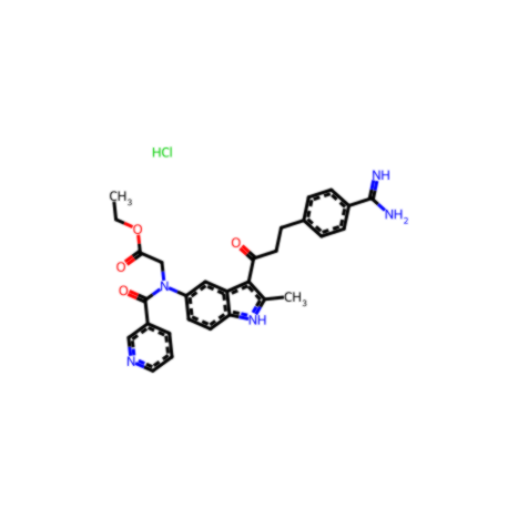 CCOC(=O)CN(C(=O)c1cccnc1)c1ccc2[nH]c(C)c(C(=O)CCc3ccc(C(=N)N)cc3)c2c1.Cl